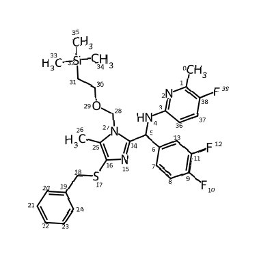 Cc1nc(NC(c2ccc(F)c(F)c2)c2nc(SCc3ccccc3)c(C)n2COCC[Si](C)(C)C)ccc1F